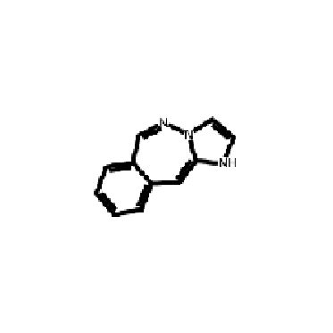 C1=CN2N=Cc3ccccc3C=C2N1